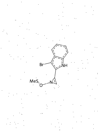 CSON1C=C1c1[nH]c2ccccc2c1Br